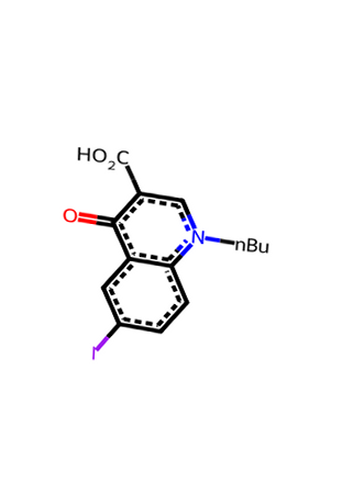 CCCCn1cc(C(=O)O)c(=O)c2cc(I)ccc21